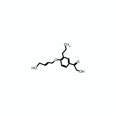 CCCc1cc(C(=O)CO)ccc1OCC=CCO